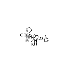 Cc1ccccc1OCC(=O)N[C@@H](CC(C)C)C(=O)NC(C)(C(=O)[O-])c1ccccc1.[K+]